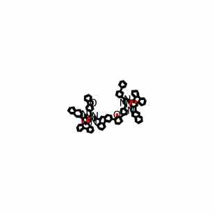 c1ccc(-c2cccc(-c3nc(-c4cc5oc6c(-c7ccc8cc(-c9nc(-c%10cc%11oc%12ccccc%12c%11cc%10-n%10c%11ccccc%11c%11cc%12ccccc%12cc%11%10)nc(-c%10cc%11ccccc%11c%11ccccc%10%11)n9)c9ccccc9c8c7)cccc6c5cc4-n4c5ccccc5c5cc6ccccc6cc54)nc(-c4cc5ccccc5c5ccccc45)n3)c2)cc1